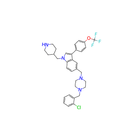 FC(F)(F)Oc1ccc(-c2cn(CC3CCNCC3)c3ccc(CN4CCN(Cc5ccccc5Cl)CC4)cc23)cc1